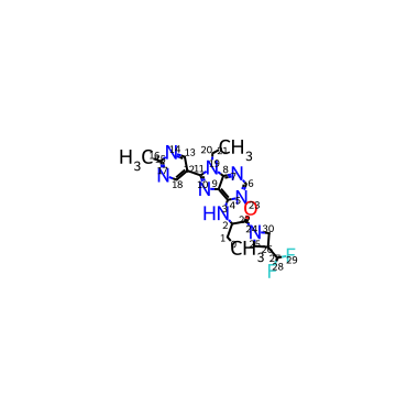 CCC(Nc1ncnc2c1nc(-c1cnc(C)nc1)n2CC)C(=O)N1CC(C(F)F)C1